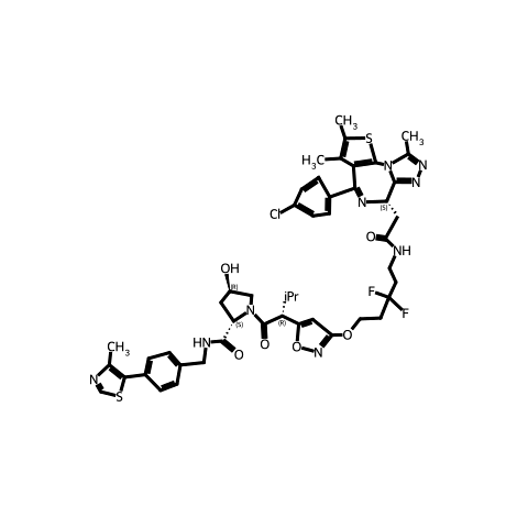 Cc1ncsc1-c1ccc(CNC(=O)[C@@H]2C[C@@H](O)CN2C(=O)[C@@H](c2cc(OCCC(F)(F)CCNC(=O)C[C@@H]3N=C(c4ccc(Cl)cc4)c4c(sc(C)c4C)-n4c(C)nnc43)no2)C(C)C)cc1